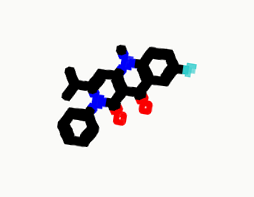 CC(C)c1cc2c(c(=O)c3cc(F)ccc3n2C)c(=O)n1-c1ccccc1